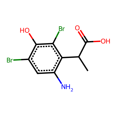 CC(C(=O)O)c1c(N)cc(Br)c(O)c1Br